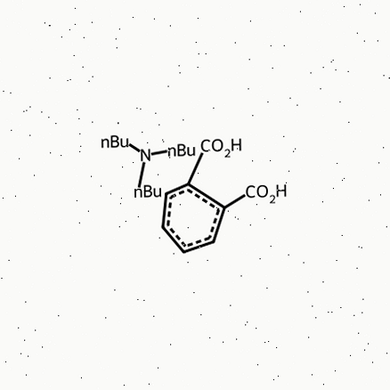 CCCCN(CCCC)CCCC.O=C(O)c1ccccc1C(=O)O